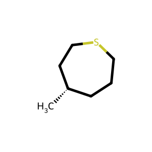 C[C@H]1CCCSCC1